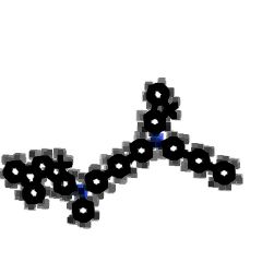 CC1(C)c2ccccc2-c2ccc(N(c3ccc(-c4ccc(-c5ccccc5)cc4)cc3)c3ccc(-c4ccc(-c5ccc(N(c6ccccc6)c6ccc7c(c6)C(C)(C)c6ccc8c9ccccc9c9ccccc9c8c6-7)cc5)cc4)cc3)cc21